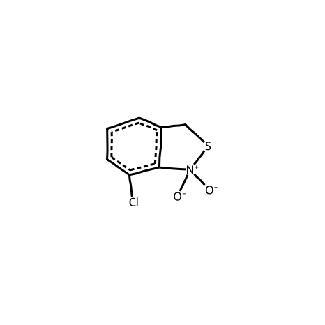 [O-][N+]1([O-])SCc2cccc(Cl)c21